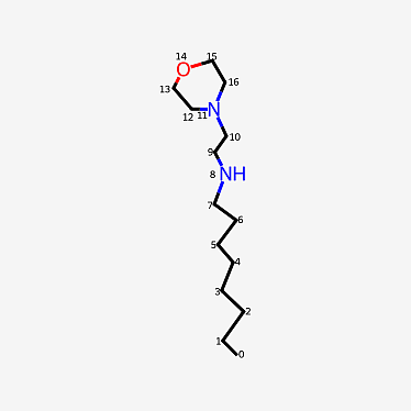 CCCCCCCCNCCN1CCOCC1